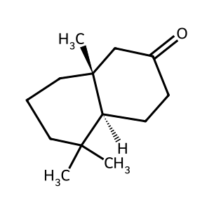 CC1(C)CCC[C@]2(C)CC(=O)CC[C@@H]12